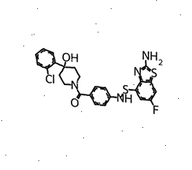 Nc1nc2c(SNc3ccc(C(=O)N4CCC(O)(c5ccccc5Cl)CC4)cc3)cc(F)cc2s1